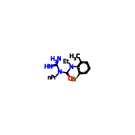 CCCN(C(=N)N)C(=O)N(CC)c1c(C)cccc1Br